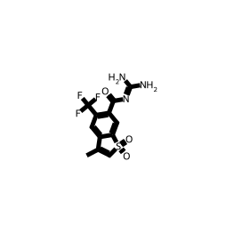 CC1=CS(=O)(=O)c2cc(C(=O)N=C(N)N)c(C(F)(F)F)cc21